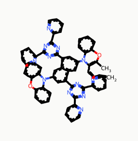 C=C/C=C\C1=C(C)Oc2ccccc2N1c1cc(-c2nc(-c3ccccn3)nc(-c3ccccn3)n2)c2cc(N3c4ccccc4Oc4ccccc43)cc(-c3nc(-c4ccccn4)nc(-c4ccccn4)n3)c2c1